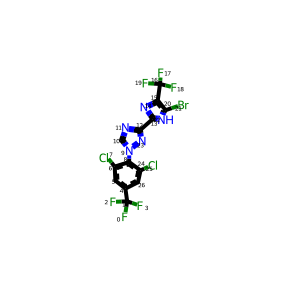 FC(F)(F)c1cc(Cl)c(-n2cnc(-c3nc(C(F)(F)F)c(Br)[nH]3)n2)c(Cl)c1